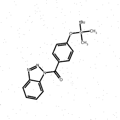 CC(C)(C)[Si](C)(C)Oc1ccc(C(=O)n2nnc3ccccc32)cc1